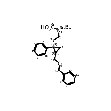 CC(C)(C)N(CC[C@]1(c2ccccc2)C[C@H]1COCc1ccccc1)C(=O)O